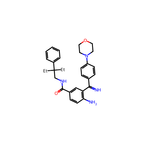 CCC(CC)(CNC(=O)c1ccc(N)c(C(=N)c2ccc(N3CCOCC3)cc2)c1)c1ccccc1